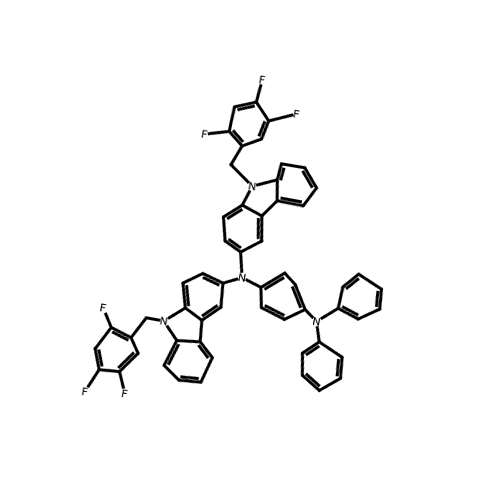 Fc1cc(F)c(Cn2c3ccccc3c3cc(N(c4ccc(N(c5ccccc5)c5ccccc5)cc4)c4ccc5c(c4)c4ccccc4n5Cc4cc(F)c(F)cc4F)ccc32)cc1F